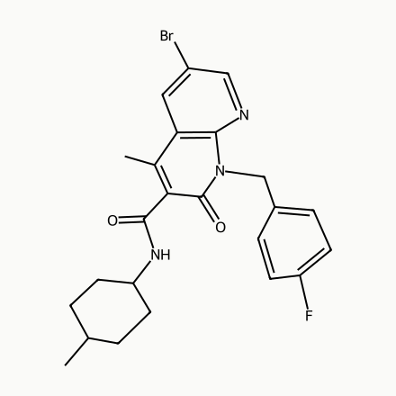 Cc1c(C(=O)NC2CCC(C)CC2)c(=O)n(Cc2ccc(F)cc2)c2ncc(Br)cc12